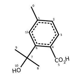 Cc1ccc(C(=O)O)c(C(C)(C)O)c1